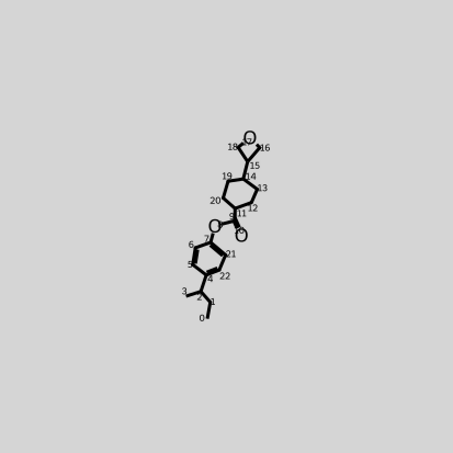 CCC(C)c1ccc(OC(=O)C2CCC(C3COC3)CC2)cc1